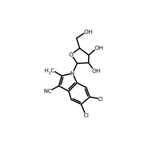 Cc1c(C#N)c2cc(Cl)c(Cl)cc2n1C1OC(CO)C(O)C1O